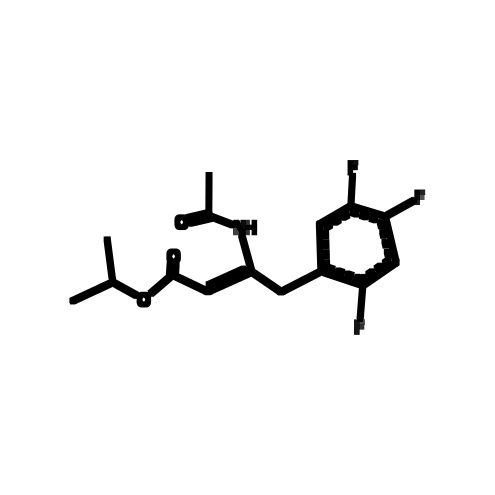 CC(=O)N/C(=C\C(=O)OC(C)C)Cc1cc(F)c(F)cc1F